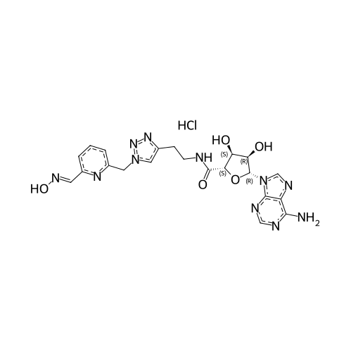 Cl.Nc1ncnc2c1ncn2[C@@H]1O[C@H](C(=O)NCCc2cn(Cc3cccc(C=NO)n3)nn2)[C@@H](O)[C@H]1O